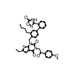 CCCCc1cc(-c2ccccc2-c2noc(=O)[nH]2)ccc1Cn1c(=O)n(CC(=O)c2ccc(OC)cc2)c(=O)c2cc(CC)sc21